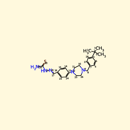 CC(C)(C)c1ccc(CN2CCN(c3ccc(C=NNC(N)=S)cc3)CC2)cc1